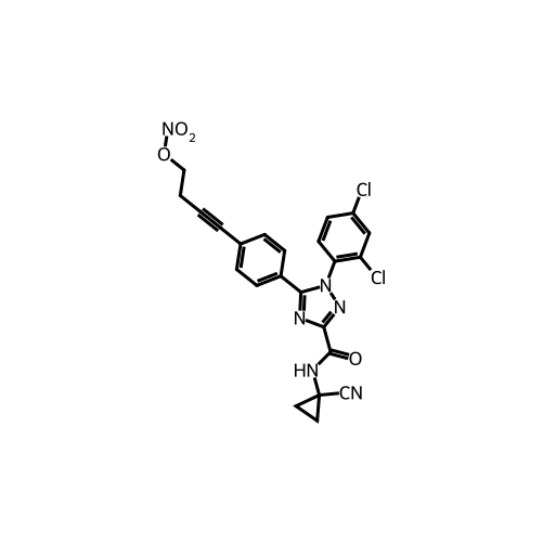 N#CC1(NC(=O)c2nc(-c3ccc(C#CCCO[N+](=O)[O-])cc3)n(-c3ccc(Cl)cc3Cl)n2)CC1